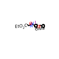 CCOC(=O)CCc1nc(-c2cc(OC)c(OCc3ccccc3)cc2I)no1